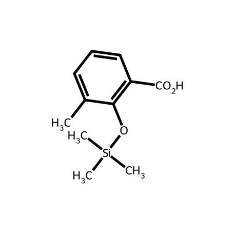 Cc1cccc(C(=O)O)c1O[Si](C)(C)C